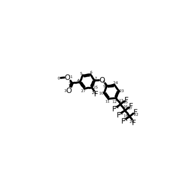 COC(=O)c1ccc(Oc2ccc(C(F)(F)C(F)(F)C(F)(F)F)cc2)c(F)c1